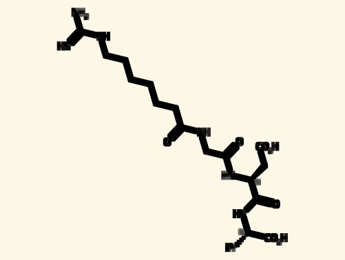 CC(C)[C@H](NC(=O)[C@H](CC(=O)O)NC(=O)CNC(=O)CCCCCCNC(=N)N)C(=O)O